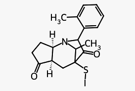 Cc1ccccc1C1C(=O)C2(SI)C[C@H]3C(=O)CC[C@H]3N1C2C